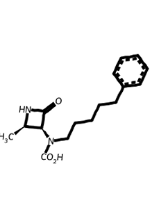 C[C@H]1NC(=O)[C@H]1N(CCCCCc1ccccc1)C(=O)O